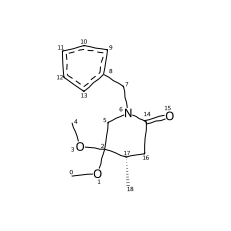 COC1(OC)CN(Cc2ccccc2)C(=O)C[C@@H]1C